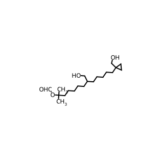 CC(C)(CCCCCC(CO)CCCCCC1(CO)CC1)OC=O